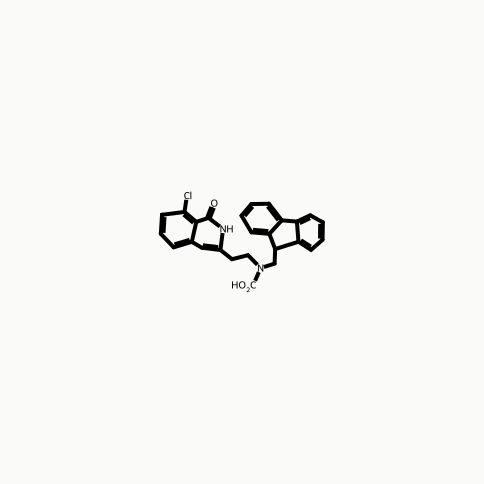 O=C(O)N(CCc1cc2cccc(Cl)c2c(=O)[nH]1)CC1c2ccccc2-c2ccccc21